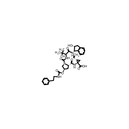 C=C[C@@H]1C[C@]1(NC(=O)[C@@H]1C[C@@H](OC(=O)NCCc2ccccc2)CN1C(=O)NC(C(=O)N[C@H]1c2ccccc2C[C@H]1O)C(C)(C)C)C(=O)O